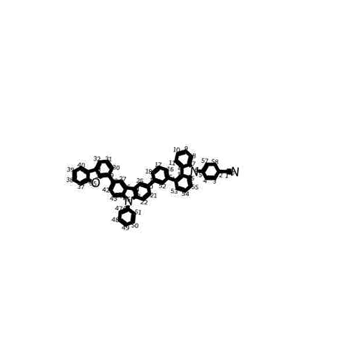 N#CC1C=CC(n2c3ccccc3c3c(-c4cccc(-c5ccc6c(c5)c5cc(-c7cccc8c7oc7ccccc78)ccc5n6-c5ccccc5)c4)cccc32)=CC1